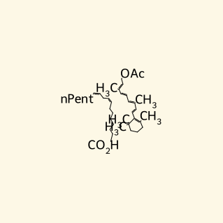 CC(=O)OCC=C(C)C=CC=C(C)C=CC1=C(C)CCCC1(C)C.CCCCC/C=C\C/C=C\CCCCCCCC(=O)O